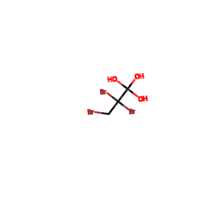 OC(O)(O)C(Br)(Br)CBr